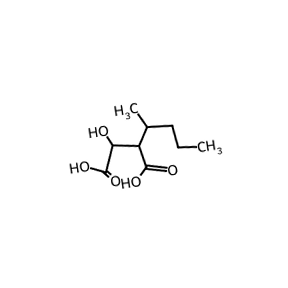 CCCC(C)C(C(=O)O)C(O)C(=O)O